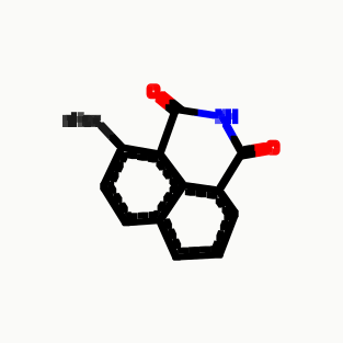 CCCCCCc1ccc2cccc3c2c1C(=O)NC3=O